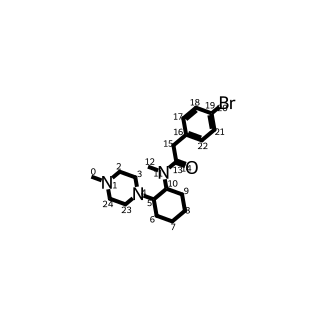 CN1CCN(C2CCCCC2N(C)C(=O)Cc2ccc(Br)cc2)CC1